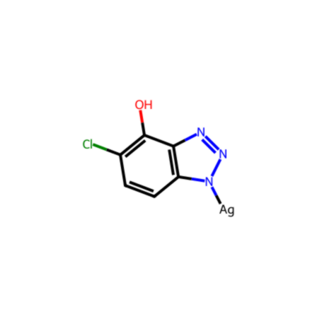 Oc1c(Cl)ccc2c1nn[n]2[Ag]